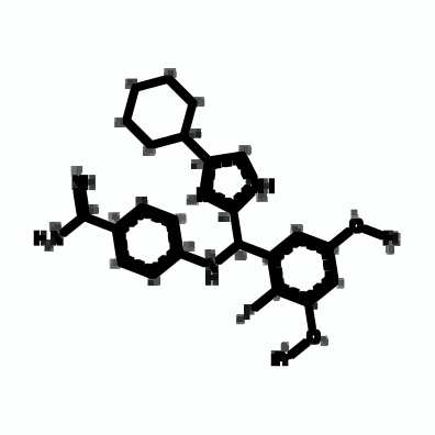 CCOc1cc(OC(C)C)c(F)c(C(Nc2ccc(C(=N)N)cc2)c2nc(C3CCCCC3)c[nH]2)c1